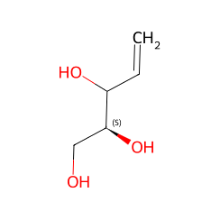 C=CC(O)[C@@H](O)CO